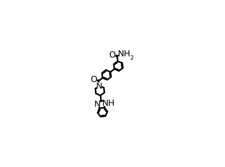 NC(=O)c1cccc(-c2ccc(C(=O)N3CCC(c4nc5ccccc5[nH]4)CC3)cc2)c1